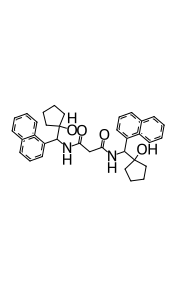 O=C(CC(=O)NC(c1cccc2ccccc12)C1(O)CCCC1)NC(c1cccc2ccccc12)C1(O)CCCC1